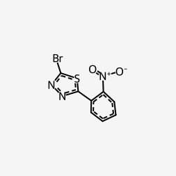 O=[N+]([O-])c1ccccc1-c1nnc(Br)s1